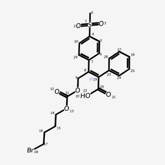 CS(=O)(=O)c1ccc(/C(COC(=O)OCCCCBr)=C(/C(=O)O)c2ccccc2)cc1